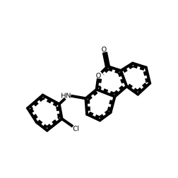 O=c1oc2c(Nc3ccccc3Cl)cccc2c2ccccc12